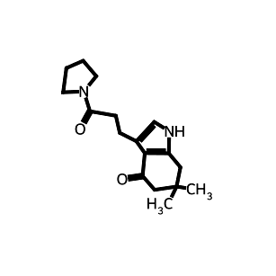 CC1(C)CC(=O)c2c(CCC(=O)N3CCCC3)c[nH]c2C1